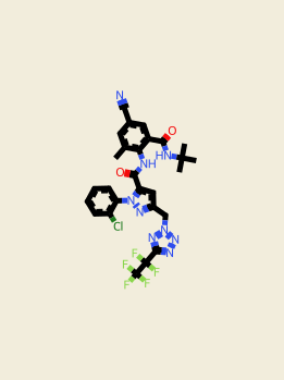 Cc1cc(C#N)cc(C(=O)NC(C)(C)C)c1NC(=O)c1cc(Cn2nnc(C(F)(F)C(F)(F)F)n2)nn1-c1ccccc1Cl